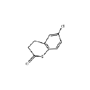 O=C1CCc2cc(Cl)ccc2S1